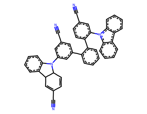 N#CC1=CC2c3ccccc3N(c3cc(C#N)cc(-c4ccccc4-c4ccc(C#N)cc4-n4c5ccccc5c5ccccc54)c3)C2C=C1